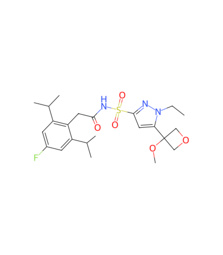 CCn1nc(S(=O)(=O)NC(=O)Cc2c(C(C)C)cc(F)cc2C(C)C)cc1C1(OC)COC1